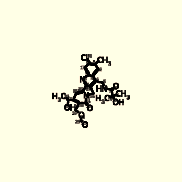 Cc1cc2c(CNC(=O)C(C)(C)O)c3c(nc2cc1Cl)-c1cc(C(C)O)c(COC=O)c(=O)n1C3